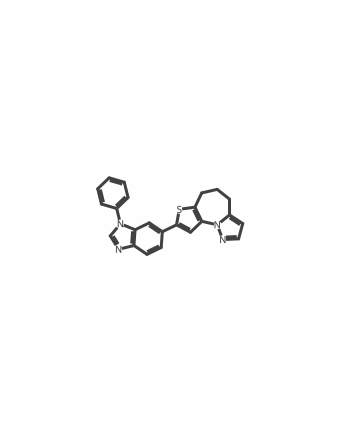 c1ccc(-n2cnc3ccc(-c4cc5c(s4)CCCc4ccnn4-5)cc32)cc1